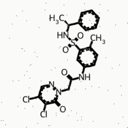 Cc1ccc(NC(=O)Cn2ncc(Cl)c(Cl)c2=O)cc1S(=O)(=O)N[C@@H](C)c1ccccc1